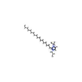 CCCCCCCCCCCCCCCCCCc1n(CCC)cc[n+]1C(C)C